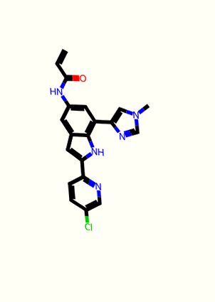 C=CC(=O)Nc1cc(-c2cn(C)cn2)c2[nH]c(-c3ccc(Cl)cn3)cc2c1